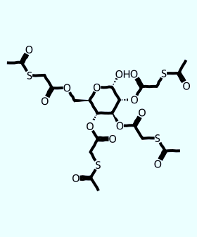 CC(=O)SCC(=O)OC[C@H]1O[C@H](O)[C@H](OC(=O)CSC(C)=O)[C@@H](OC(=O)CSC(C)=O)[C@@H]1OC(=O)CSC(C)=O